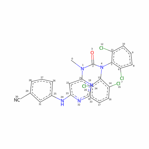 CN(C(=O)N(c1c(Cl)cccc1Cl)c1c(Cl)cccc1Cl)c1cc(Nc2cccc(C#N)c2)ncn1